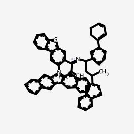 C=C(C)/C(=N\C(CC(C)c1ccc2ccccc2c1)c1cccc(C2=CC=CCC2)c1)c1cc2sc3ccccc3c2cc1-n1c2cc3ccccc3cc2c2cc3ccccc3cc21